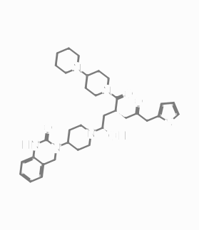 O=C(Cc1cccs1)C[C@@H](C[C@@H](O)N1CCC(N2Cc3ccccc3NC2=O)CC1)C(=O)N1CCC(N2CCCCC2)CC1